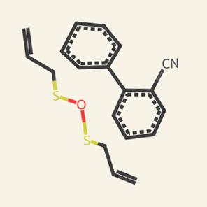 C=CCSOSCC=C.N#Cc1ccccc1-c1ccccc1